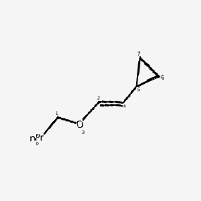 CCCCOC=CC1CC1